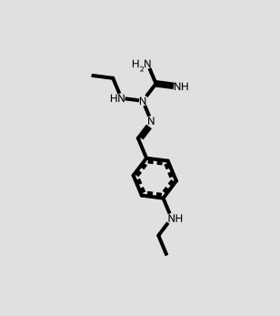 CCNc1ccc(C=NN(NCC)C(=N)N)cc1